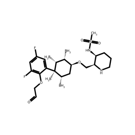 B[C@@H]1[C@@H](OC[C@@H]2NCCC[C@@H]2NS(C)(=O)=O)C[C@H](B)[C@@](B)(c2cc(F)cc(F)c2OCC=O)[C@@H]1B